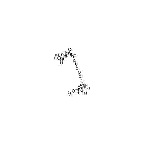 Cc1ncsc1-c1ccc(CNC(=O)[C@@H]2C[C@@H](O)CN2C(=O)C(NC(=O)CCOCCOCCOCCOCCOCCOCCC(=O)N2CC(C(c3ccccc3)n3cc(NC(=O)c4n[nH]c5c4C[C@@H]4C(F)(F)[C@]4(C)C5)cn3)C2)C(C)(C)C)cc1